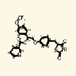 O=C1NC(=O)C(Cc2ccc(OCC(OC(=O)c3cccnc3)c3ccc(OC(F)(F)F)cc3)cc2)S1